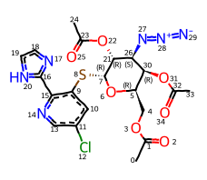 CC(=O)OC[C@H]1O[C@H](Sc2cc(Cl)cnc2-c2ncc[nH]2)[C@H](OC(C)=O)[C@@H](N=[N+]=[N-])[C@H]1OC(C)=O